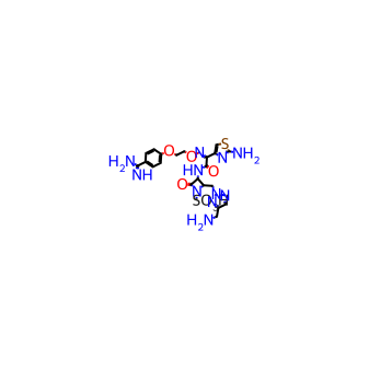 N=C(N)c1ccc(OCCO/N=C(\C(=O)NC2C(=O)N(S(=O)(=O)O)C2Cn2ncc(CN)n2)c2csc(N)n2)cc1